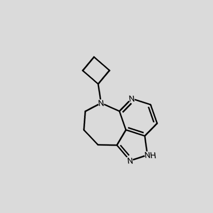 c1cc2[nH]nc3c2c(n1)N(C1CCC1)CCC3